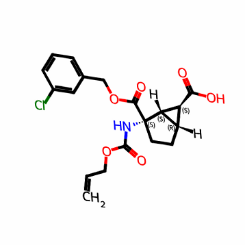 C=CCOC(=O)N[C@@]1(C(=O)OCc2cccc(Cl)c2)CC[C@H]2[C@H](C(=O)O)[C@H]21